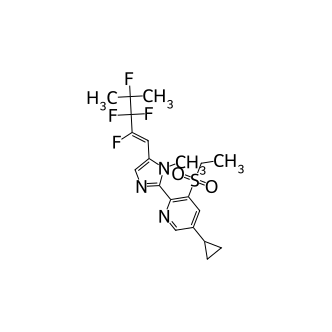 CCS(=O)(=O)c1cc(C2CC2)cnc1-c1ncc(/C=C(\F)C(F)(F)C(C)(C)F)n1C